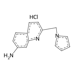 Cl.Nc1ccc2ccc(Cn3cccc3)nc2c1